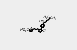 C=C(C)CCCC(O)c1ccc(C2C(Cl)CCC2CCCc2ccc(C(=O)O)s2)cc1